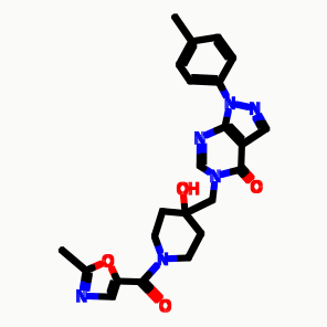 Cc1ccc(-n2ncc3c(=O)n(CC4(O)CCN(C(=O)c5cnc(C)o5)CC4)cnc32)cc1